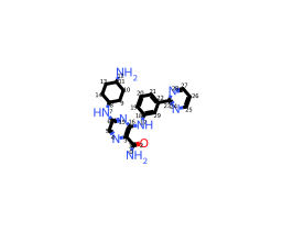 NC(=O)c1ncc(NC2CCC(N)CC2)nc1Nc1cccc(-c2ncccn2)c1